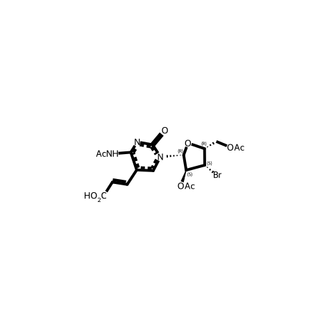 CC(=O)Nc1nc(=O)n([C@@H]2O[C@H](COC(C)=O)[C@H](Br)[C@H]2OC(C)=O)cc1C=CC(=O)O